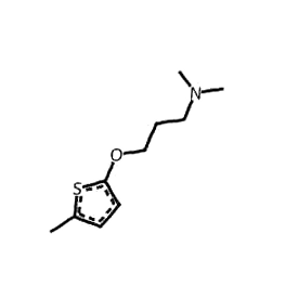 Cc1ccc(OCCCN(C)C)s1